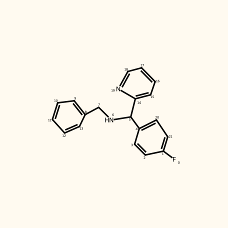 Fc1ccc(C(NCc2ccccc2)c2ccccn2)cc1